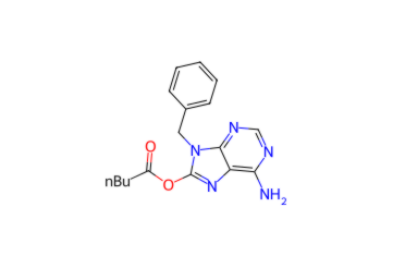 CCCCC(=O)Oc1nc2c(N)ncnc2n1Cc1ccccc1